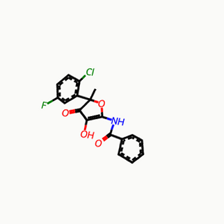 CC1(c2cc(F)ccc2Cl)OC(NC(=O)c2ccccc2)=C(O)C1=O